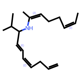 C=CC/C=C\C=C\C(N/C(C)=C\CC/C=C\C)C(C)C